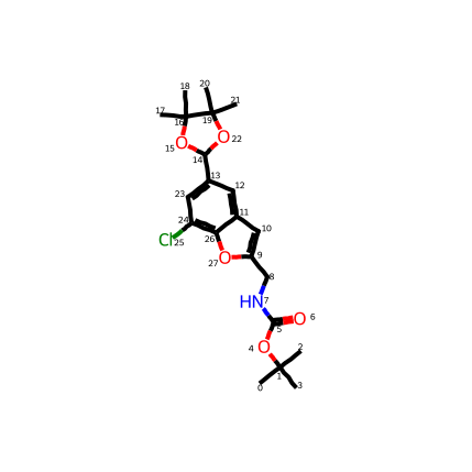 CC(C)(C)OC(=O)NCc1cc2cc(C3OC(C)(C)C(C)(C)O3)cc(Cl)c2o1